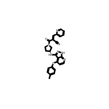 Cc1ccc(Oc2ccnc3[nH]nc(N[C@@H]4CCN(C(=O)/C(C#N)=C/c5ccccn5)C4)c23)cc1